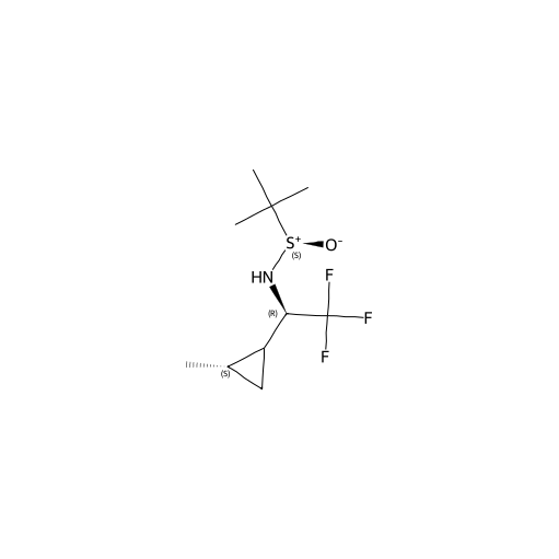 C[C@H]1CC1[C@@H](N[S@+]([O-])C(C)(C)C)C(F)(F)F